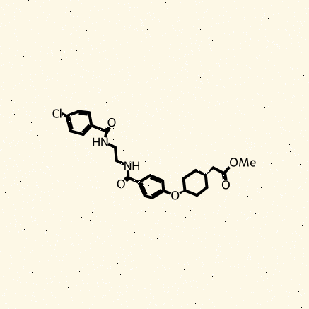 COC(=O)C[C@H]1CC[C@@H](Oc2ccc(C(=O)NCCNC(=O)c3ccc(Cl)cc3)cc2)CC1